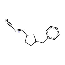 N#C/C=C/C1CCN(Cc2ccccc2)C1